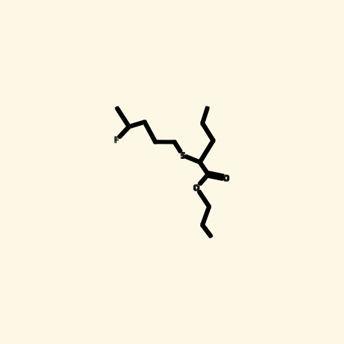 CCCOC(=O)C(CCC)SCCCC(C)F